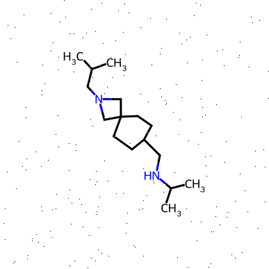 CC(C)CN1CC2(CCC(CNC(C)C)CC2)C1